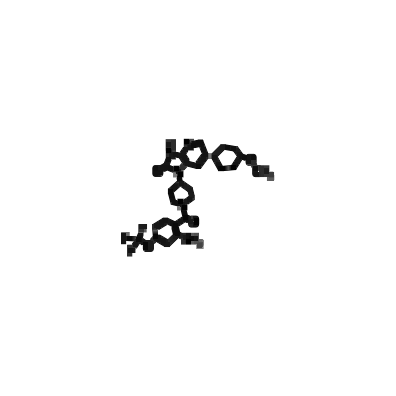 COC1CCC(c2cnc3[nH]c(=O)n(C4CCN(C(=O)c5ccc(OC(F)(F)F)cc5N)CC4)c3c2)CC1